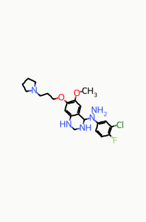 COc1cc2c(cc1OCCCN1CCCC1)NCNC2N(N)c1ccc(F)c(Cl)c1